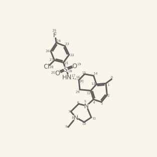 Cc1ccc(N2CCN(C)CC2)c2c1CC[C@@H](NS(=O)(=O)c1ccc(F)cc1Cl)C2